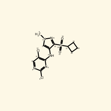 Cn1cc(Nc2nc(Cl)ncc2Cl)c(S(=O)(=O)C2CCC2)n1